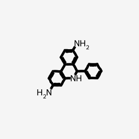 Nc1ccc2c(c1)NC(c1ccccc1)c1cc(N)ccc1-2